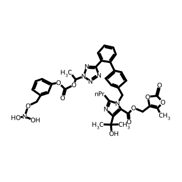 CCCc1nc(C(C)(C)O)c(C(=O)OCc2oc(=O)oc2C)n1Cc1ccc(-c2ccccc2-c2nnn(C(C)OC(=O)Oc3cccc(CON(O)O)c3)n2)cc1